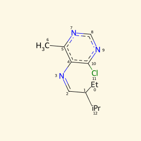 CCC(/C=N\c1c(C)ncnc1Cl)C(C)C